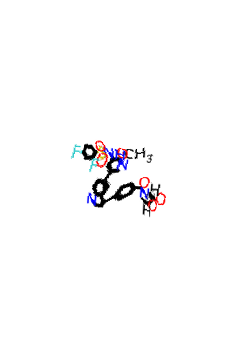 COc1ncc(-c2ccc3nccc(-c4ccc(C(=O)N5C[C@H]6C[C@@H]5C(=O)O6)cc4)c3c2)cc1NS(=O)(=O)c1ccc(F)cc1F